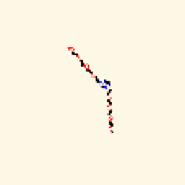 COCCOCCOCCOCCN1C=CN(CCOCCOCCOCCOC)C1